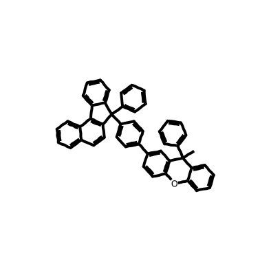 CC1(c2ccccc2)c2ccccc2Oc2ccc(-c3ccc(C4(c5ccccc5)c5ccccc5-c5c4ccc4ccccc54)cc3)cc21